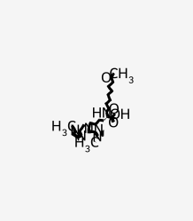 CC(=O)CCCCCCC(=O)N[C@@H](CCCCN(Cc1nccn1C)Cc1nccn1C)C(=O)O